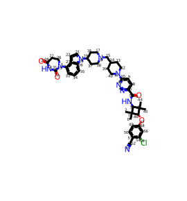 CC1(C)C(NC(=O)c2ccc(N3CCC(CN4CCC(n5ccc6c(N7CCC(=O)NC7=O)cccc65)CC4)CC3)nn2)C(C)(C)C1Oc1ccc(C#N)c(Cl)c1